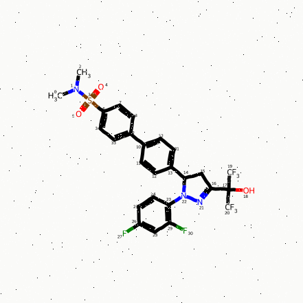 CN(C)S(=O)(=O)c1ccc(-c2ccc(C3CC(C(O)(C(F)(F)F)C(F)(F)F)=NN3c3ccc(F)cc3F)cc2)cc1